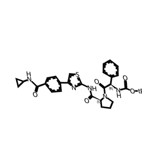 CC(C)(C)OC(=O)N[C@@H](C(=O)N1CCC[C@H]1C(=O)Nc1nc(-c2ccc(C(=O)NC3CC3)cc2)cs1)c1ccccc1